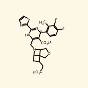 CCOC(=O)C1=C(CN2C3COCC34C(CC(=O)O)CC24)NC(c2nccs2)=N[C@H]1c1ccc(F)c(F)c1C